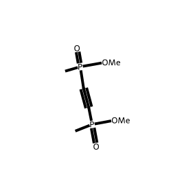 COP(C)(=O)C#CP(C)(=O)OC